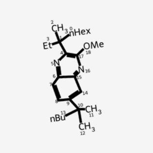 CCCCCCC(C)(CC)c1nc2ccc(C(C)(C)CCCC)cc2nc1OC